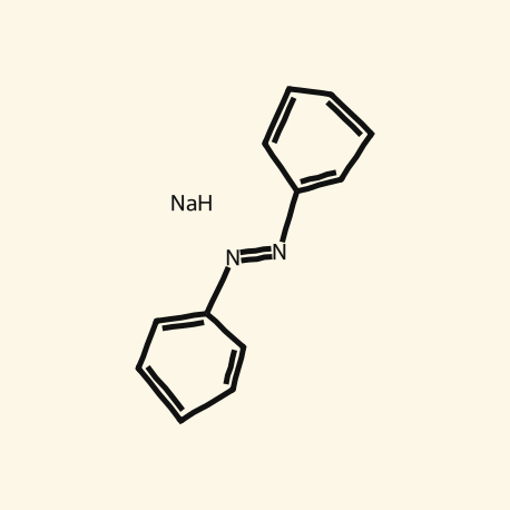 [NaH].c1ccc(N=Nc2ccccc2)cc1